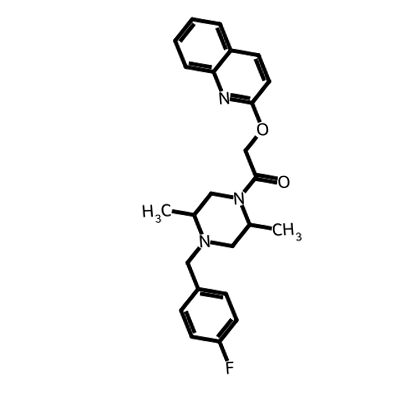 CC1CN(C(=O)COc2ccc3ccccc3n2)C(C)CN1Cc1ccc(F)cc1